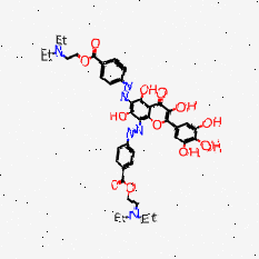 CCN(CC)CCOC(=O)c1ccc(N=Nc2c(O)c(N=Nc3ccc(C(=O)OCCN(CC)CC)cc3)c3oc(-c4cc(O)c(O)c(O)c4)c(O)c(=O)c3c2O)cc1